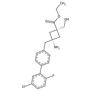 CCOC(=O)[C@]1(CO)C[C@](N)(Cc2ccc(-c3cc(Cl)ccc3F)cc2)C1